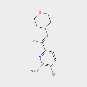 COc1nc(C(Br)=CC2CCOCC2)ccc1Cl